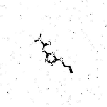 C=CCOc1nc(SC(=O)N(C)C)ns1